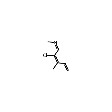 C=C/C(C)=C(Cl)\C=N/C